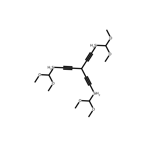 COC(OC)[SiH2]C#CC(C#C[SiH2]C(OC)OC)C#C[SiH2]C(OC)OC